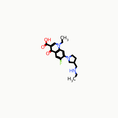 CCNCC1CCN(c2cc3c(cc2F)c(=O)c(C(=O)O)cn3CC)C1